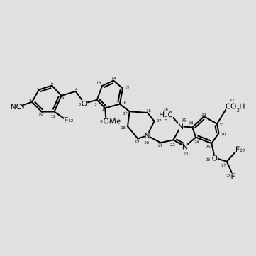 COc1c(OCc2ccc(C#N)cc2F)cccc1C1CCN(Cc2nc3c(OC(F)F)cc(C(=O)O)cc3n2C)CC1